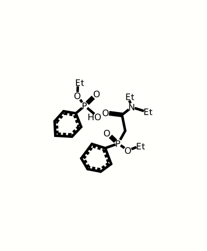 CCOP(=O)(CC(=O)N(CC)CC)c1ccccc1.CCOP(=O)(O)c1ccccc1